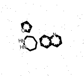 C1CCNNCC1.c1ccc2ncccc2c1.c1ccoc1